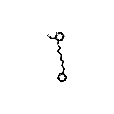 O=Cc1ncccc1SCCCCCCCc1ccccc1